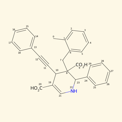 Cc1ccccc1CC1(C(=O)O)C(C#Cc2ccccc2)C(C(=O)O)=CNC1c1ccccc1